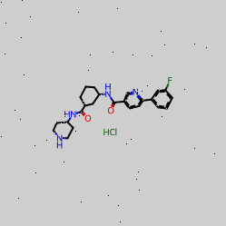 Cl.O=C(NC1CCCC(C(=O)NC2CCNCC2)C1)c1ccc(-c2cccc(F)c2)nc1